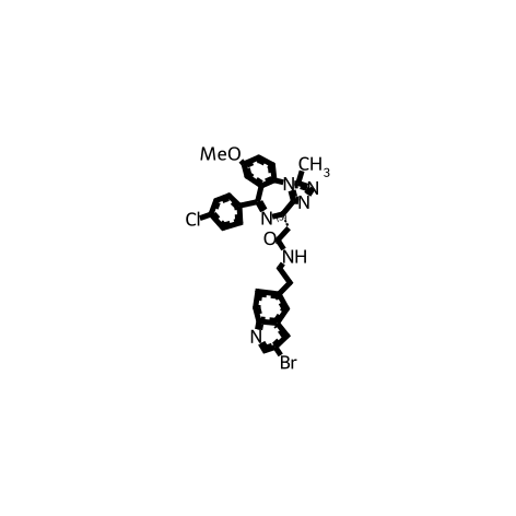 COc1ccc2c(c1)C(c1ccc(Cl)cc1)=N[C@@H](CC(=O)NCCc1ccc3ncc(Br)cc3c1)c1nnc(C)n1-2